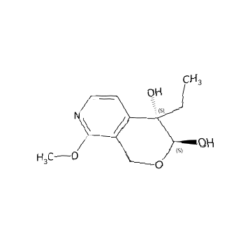 CC[C@]1(O)c2ccnc(OC)c2CO[C@@H]1O